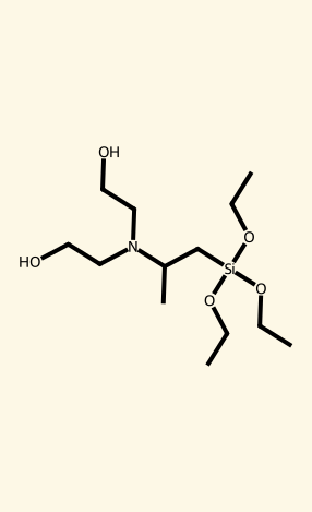 CCO[Si](CC(C)N(CCO)CCO)(OCC)OCC